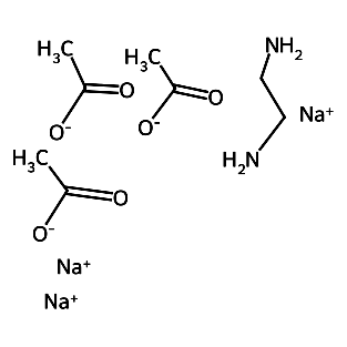 CC(=O)[O-].CC(=O)[O-].CC(=O)[O-].NCCN.[Na+].[Na+].[Na+]